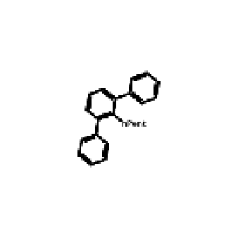 CCCCCc1c(-c2ccccc2)cccc1-c1ccccc1